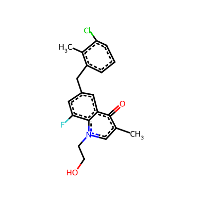 Cc1c(Cl)cccc1Cc1cc(F)c2c(c1)c(=O)c(C)cn2CCO